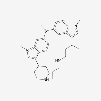 CCCNCCC(C)c1cn(C)c2ccc(N(C)c3ccc4c(C5CCNCC5)cn(C)c4c3)cc12